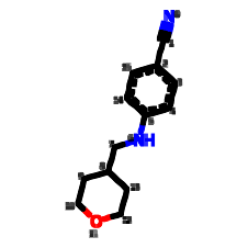 N#Cc1ccc(NCC2CCOCC2)cc1